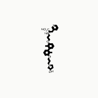 Cc1c(OCCCN[C@@H](Cc2cccnc2)C(=O)O)cccc1-c1cccc(OCCCN2CC[C@@H](O)C2)c1C